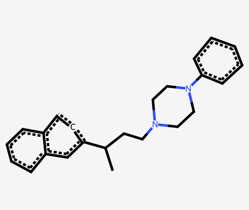 CC(CCN1CCN(c2ccccc2)CC1)c1ccc2ccccc2c1